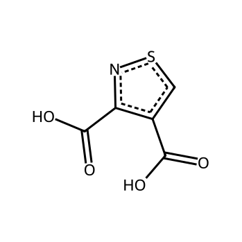 O=C(O)c1csnc1C(=O)O